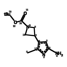 Cn1nc(N)cc1C1CN(C(=O)OC(C)(C)C)C1